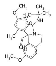 C=CC1(c2ccc(OC)cc2C)c2cc(OC)ccc2CCN1C(=O)NC(C)(C)C